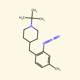 Cc1ccc(CC2CCN(C(C)(C)C)CC2)c(N=[N+]=[N-])c1